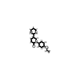 O=c1ccc(-c2ncccn2)cn1-c1ccc(OCF)cc1